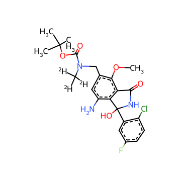 [2H]C([2H])([2H])N(Cc1cc(N)c2c(c1OC)C(=O)NC2(O)c1cc(F)ccc1Cl)C(=O)OC(C)(C)C